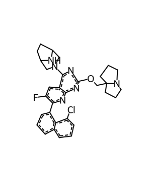 Fc1cc2c(N3CC4CCC(C3)N4)nc(OCC34CCCN3CCC4)nc2nc1-c1cccc2cccc(Cl)c12